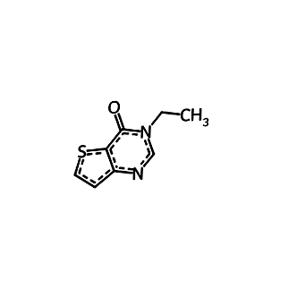 CCn1cnc2ccsc2c1=O